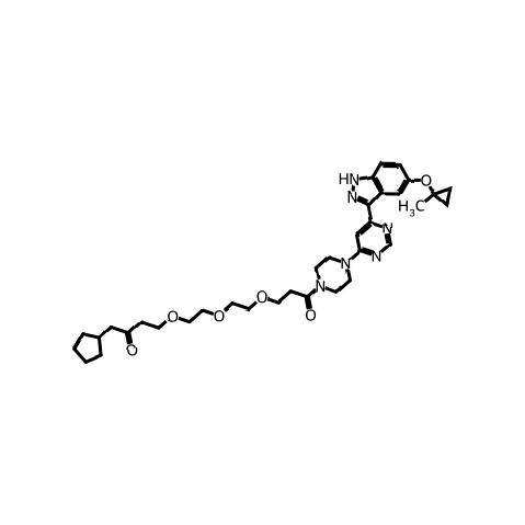 CC1(Oc2ccc3[nH]nc(-c4cc(N5CCN(C(=O)CCOCCOCCOCCC(=O)CC6CCCC6)CC5)ncn4)c3c2)CC1